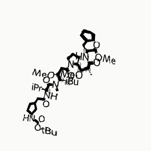 CC[C@H](C)[C@@H]([C@@H](CC(=O)N1CCC[C@H]1[C@H](OC)[C@@H](C)C(=O)N[C@@H](Cc1ccccc1)C(=O)OC)OC)N(C)C(=O)[C@@H](NC(=O)CC1CC[C@H](NC(=O)OC(C)(C)C)C1)C(C)C